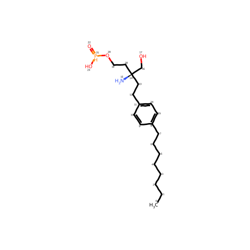 CCCCCCCCc1ccc(CC[C@@](N)(CO)CCO[PH](=O)O)cc1